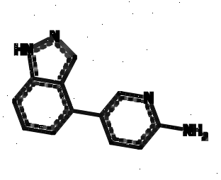 Nc1ccc(-c2cccc3[nH]ncc23)cn1